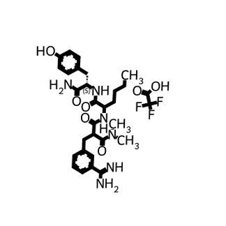 CCCCC(NC(=O)C(Cc1cccc(C(=N)N)c1)C(=O)N(C)C)C(=O)N[C@@H](Cc1ccc(O)cc1)C(N)=O.O=C(O)C(F)(F)F